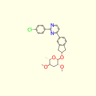 CO[C@@H]1C[C@@H](OC)[C@H](C)O[C@H]1OC1Cc2ccc(-c3ccnc(-c4ccc(Cl)cc4)n3)cc2C1